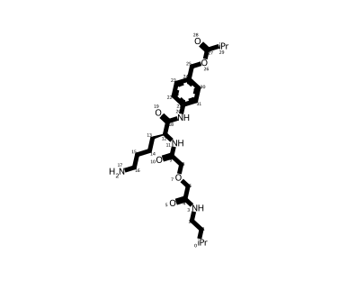 CC(C)CCNC(=O)COCC(=O)N[C@@H](CCCCN)C(=O)Nc1ccc(COC(=O)C(C)C)cc1